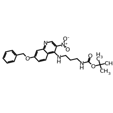 CC(C)(C)OC(=O)NCCCNc1c([N+](=O)[O-])cnc2cc(OCc3ccccc3)ccc12